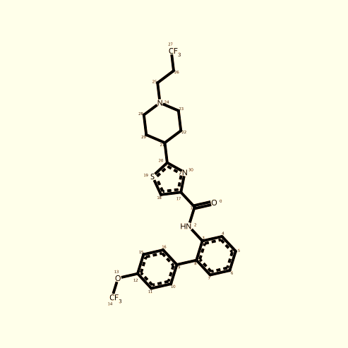 O=C(Nc1ccccc1-c1ccc(OC(F)(F)F)cc1)c1csc(C2CCN(CCC(F)(F)F)CC2)n1